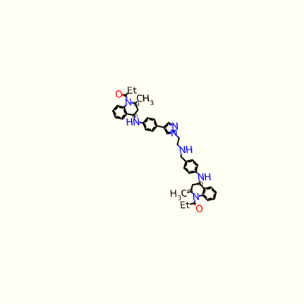 CCC(=O)N1c2ccccc2[C@H](Nc2ccc(CNCCn3cc(-c4ccc(N[C@@H]5C[C@H](C)N(C(=O)CC)c6ccccc65)cc4)cn3)cc2)C[C@@H]1C